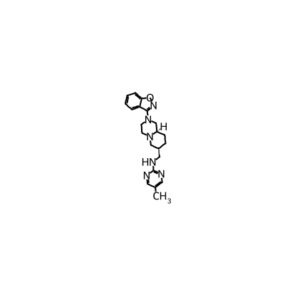 Cc1cnc(NC[C@@H]2CC[C@@H]3CN(c4noc5ccccc45)CCN3C2)nc1